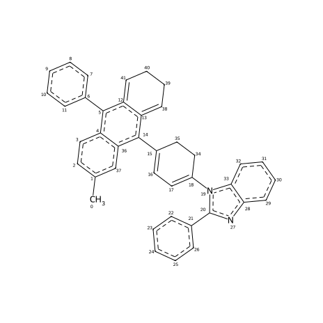 Cc1ccc2c(-c3ccccc3)c3c(c(C4=CC=C(n5c(-c6ccccc6)nc6ccccc65)CC4)c2c1)=CCCC=3